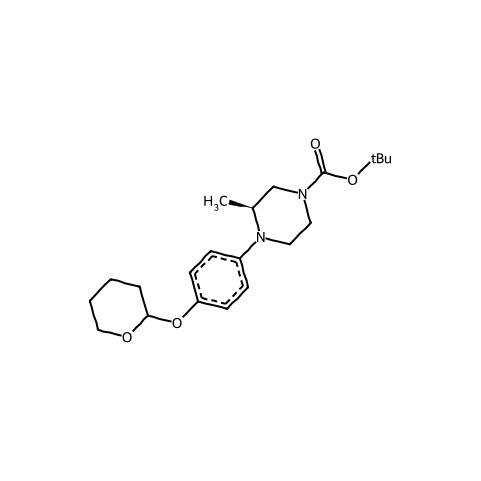 C[C@H]1CN(C(=O)OC(C)(C)C)CCN1c1ccc(OC2CCCCO2)cc1